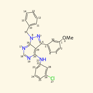 COc1cccc(-c2nn(Cc3ccccc3)c3ncnc(Nc4cccc(Cl)c4)c23)c1